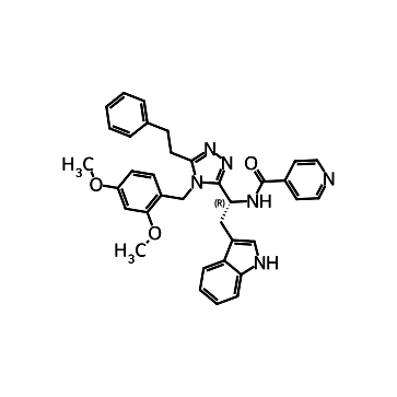 COc1ccc(Cn2c(CCc3ccccc3)nnc2[C@@H](Cc2c[nH]c3ccccc23)NC(=O)c2ccncc2)c(OC)c1